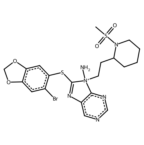 CS(=O)(=O)N1CCCCC1CC[N+]1(N)C(Sc2cc3c(cc2Br)OCO3)=Nc2cncnc21